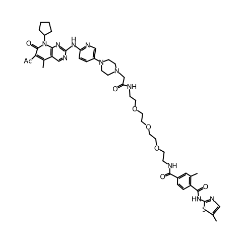 CC(=O)c1c(C)c2cnc(Nc3ccc(N4CCN(CC(=O)NCCOCCOCCOCCNC(=O)c5ccc(C(=O)Nc6ncc(C)s6)c(C)c5)CC4)cn3)nc2n(C2CCCC2)c1=O